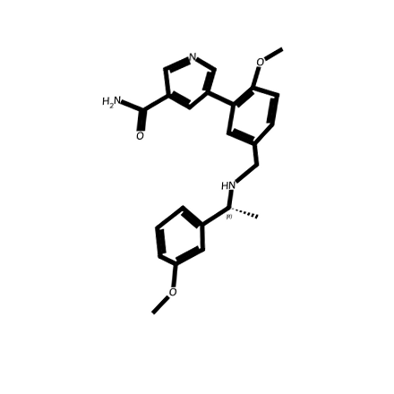 COc1cccc([C@@H](C)NCc2ccc(OC)c(-c3cncc(C(N)=O)c3)c2)c1